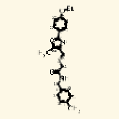 CCOc1ccc(-c2nc(CSCC(=O)NCc3ccc(C)cc3)c(C)o2)cc1